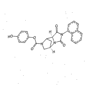 O=C1[C@@H]2C3C[C@H](CN3C(=O)Oc3ccc(O)cc3)N2C(=O)N1c1cccc2ccccc12